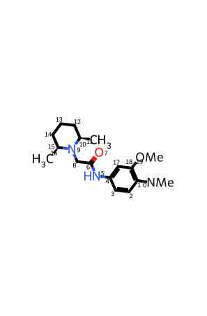 CNc1ccc(NC(=O)CN2[C@H](C)CCC[C@@H]2C)cc1OC